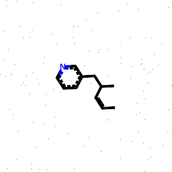 C/C=C\C(C)Cc1cccnc1